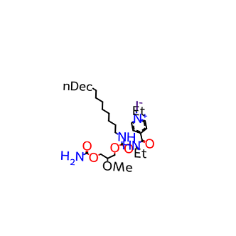 CCCCCCCCCCCCCCCCCCNC(=O)OCC(COC(N)=O)OC.CCNC(=O)c1cc[n+](CC)cc1.[I-]